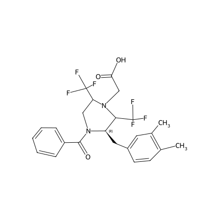 Cc1ccc(C[C@@H]2C(C(F)(F)F)N(CC(=O)O)C(C(F)(F)F)CN2C(=O)c2ccccc2)cc1C